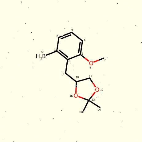 Bc1cccc(OC)c1CC1COC(C)(C)O1